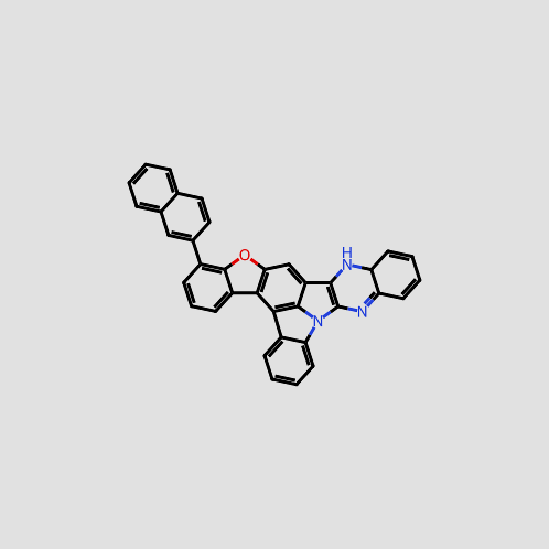 C1=CC2=Nc3c(c4cc5oc6c(-c7ccc8ccccc8c7)cccc6c5c5c6ccccc6n3c45)NC2C=C1